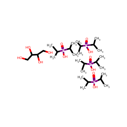 CC(C)P(=O)(O)C(C)C.CC(C)P(=O)(O)C(C)C.CC(C)P(=O)(O)C(C)C.CC(C)P(=O)(O)C(C)C.OCC(O)C(O)CO